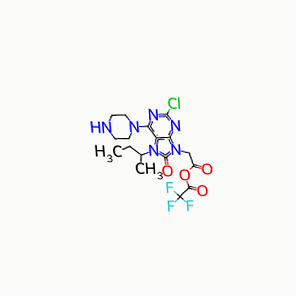 CCC(C)n1c(=O)n(CC(=O)OC(=O)C(F)(F)F)c2nc(Cl)nc(N3CCNCC3)c21